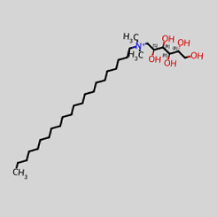 CCCCCCCCCCCCCCCCCCCCCC[N+](C)(C)C[C@H](O)[C@@H](O)[C@H](O)[C@H](O)CO